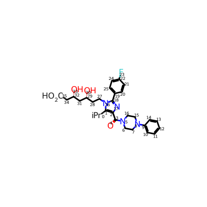 CC(C)c1c(C(=O)N2CCN(c3ccccc3)CC2)nc(-c2ccc(F)cc2)n1CC[C@@H](O)C[C@@H](O)CC(=O)O